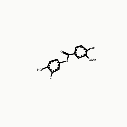 COc1cc(C(=O)Oc2ccc(O)c(Cl)c2)ccc1O